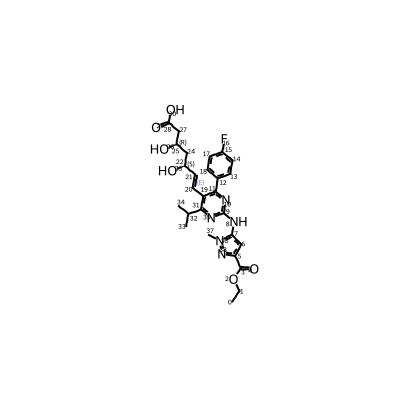 CCOC(=O)c1cc(Nc2nc(-c3ccc(F)cc3)c(/C=C/[C@@H](O)C[C@@H](O)CC(=O)O)c(C(C)C)n2)n(C)n1